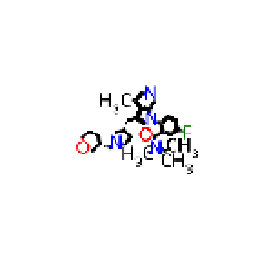 Cc1cncc2c1c(C[C@@H]1CCN(C[C@H]3CCCOC3)C1)cn2-c1ccc(F)cc1C(=O)N(C)C(C)C